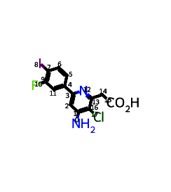 Nc1cc(-c2ccc(I)c(F)c2)nc(CC(=O)O)c1Cl